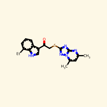 CCc1cccc2c(C(=O)CSc3nc4nc(C)cc(C)n4n3)c[nH]c12